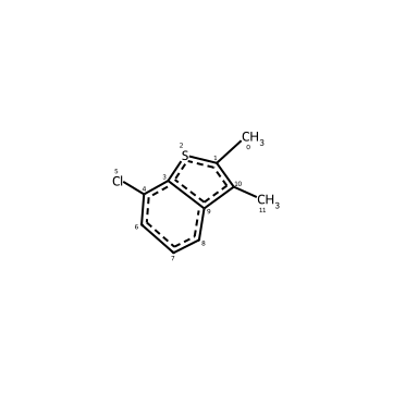 Cc1sc2c(Cl)cccc2c1C